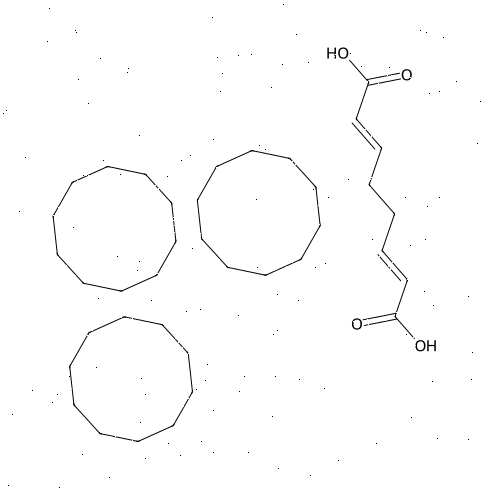 C1CCCCCCCCC1.C1CCCCCCCCC1.C1CCCCCCCCC1.O=C(O)C=CCCC=CC(=O)O